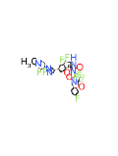 CN1CCC(n2cc(-c3ccc4c(c3)C(F)(F)C[C@]43NC(=O)N(CC(=O)N(Cc4ccc(F)cc4)C4(C(F)(F)F)COC4)C3=O)cn2)C(F)(F)C1